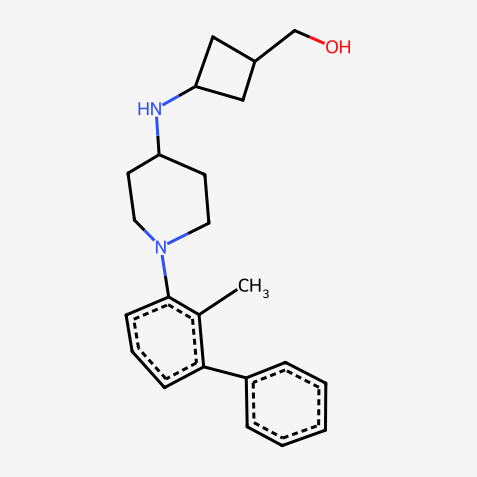 Cc1c(-c2ccccc2)cccc1N1CCC(NC2CC(CO)C2)CC1